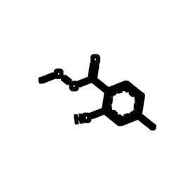 COOC(=O)c1ccc(C)cc1O